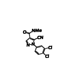 CNC(=O)c1cnn(-c2ccc(Cl)c(Cl)c2)c1C#N